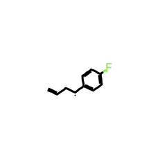 C=CC[CH]c1ccc(F)cc1